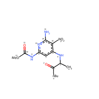 CCCCC(=O)C(C)Nc1cc(NC(=O)OC)nc(N)c1[N+](=O)[O-]